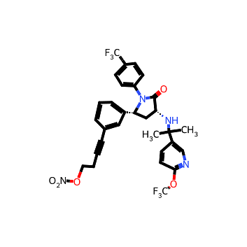 CC(C)(N[C@@H]1C[C@H](c2cccc(C#CCCO[N+](=O)[O-])c2)N(c2ccc(C(F)(F)F)cc2)C1=O)c1ccc(OC(F)(F)F)nc1